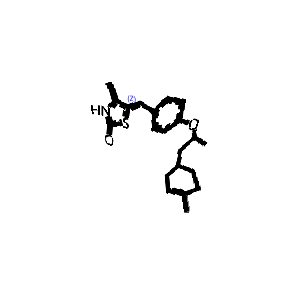 C=c1[nH]c(=O)s/c1=C\c1ccc(OC(C)CC2CC=C(C)CC2)cc1